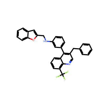 FC(F)(F)c1cccc2c(-c3cccc(NCc4cc5ccccc5o4)c3)c(Cc3ccccc3)cnc12